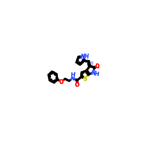 O=C1Nc2sc(C(=O)NCCOc3ccccc3)cc2/C1=C\c1ccc[nH]1